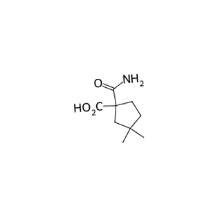 CC1(C)CCC(C(N)=O)(C(=O)O)C1